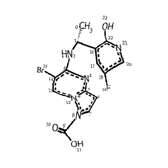 C[C@@H](Nc1nc2ccn(C(=O)O)[n+]2cc1Br)c1cc(F)cnc1O